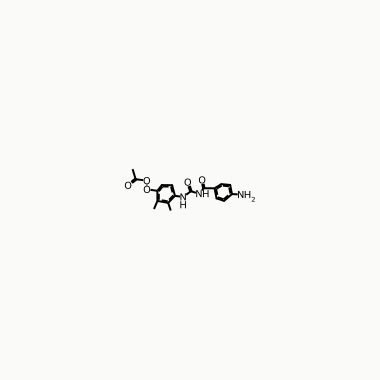 CC(=O)OOc1ccc(NC(=O)NC(=O)c2ccc(N)cc2)c(C)c1C